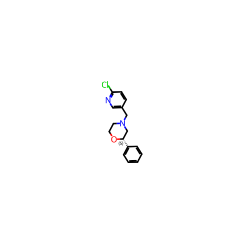 Clc1ccc(CN2CCO[C@@H](c3ccccc3)C2)cn1